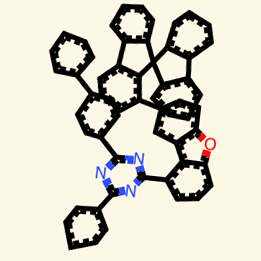 c1ccc(-c2ccc(-c3nc(-c4ccccc4)nc(-c4cccc5oc6ccc(-c7cccc8c7C7(c9ccccc9-c9ccccc97)c7ccccc7-8)cc6c45)n3)cc2)cc1